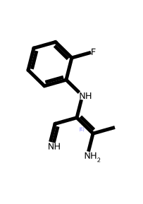 C/C(N)=C(/C=N)Nc1ccccc1F